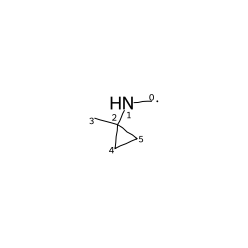 [CH2]NC1(C)CC1